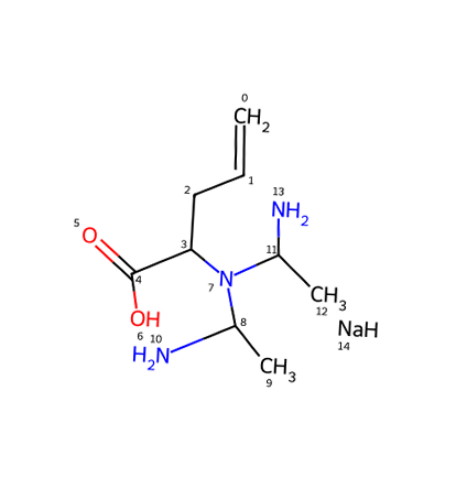 C=CCC(C(=O)O)N(C(C)N)C(C)N.[NaH]